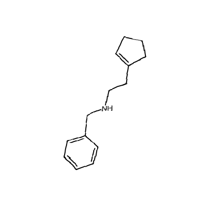 C1=C(CCNCc2ccccc2)CCC1